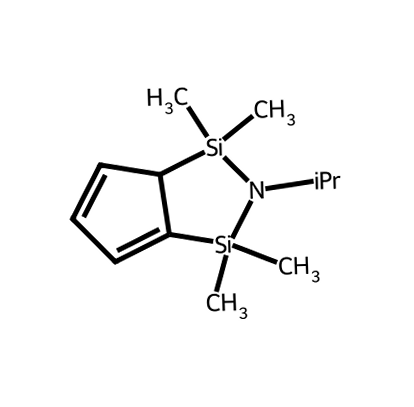 CC(C)N1[Si](C)(C)C2=CC=CC2[Si]1(C)C